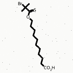 CC(C)(Br)C(=S)OCCCCCCCCCCC(=O)O